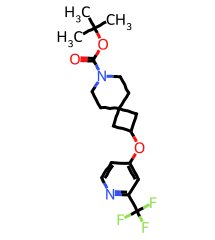 CC(C)(C)OC(=O)N1CCC2(CC1)CC(Oc1ccnc(C(F)(F)F)c1)C2